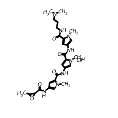 CC1OC1C(=O)Nc1cc(C(=O)Nc2cc(C(=O)Nc3cc(C(=O)NCCCN(C)C)n(C)c3)n(C)c2)n(C)c1.Cl